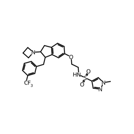 Cn1cc(S(=O)(=O)NCCOc2ccc3c(c2)C(Cc2cccc(C(F)(F)F)c2)C(N2CCC2)C3)cn1